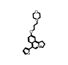 c1csc(-c2c[n+]3c(c4cc(OCCCN5CCOCC5)ccc24)CCC3)c1